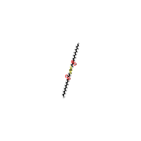 CCCCCCCCCCCCOC(=O)CCSSSSCCC(=O)OCCCCCCCCCCCC